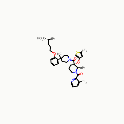 CCC[C@H]1N(C(=O)c2ncccc2C(F)(F)F)CCC[C@@]1(Oc1csc(C(F)(F)F)c1)C(=O)N1CCC(C#N)(c2ccccc2OCCC[C@H](C(=O)O)C(C)C)CC1